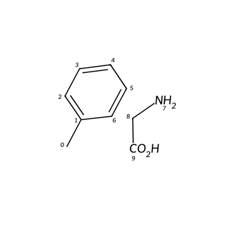 Cc1ccccc1.NCC(=O)O